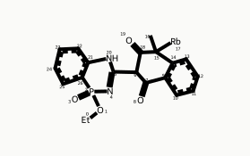 CCOP1(=O)N=C(C2C(=O)c3ccccc3[C](C)([Rb])C2=O)Nc2ccccc21